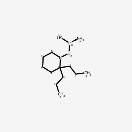 CCCC1(CCC)CCCCN1O[P@](N)S